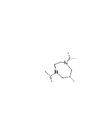 CC1CN(C(C)C)CCN(C(C)C)C1